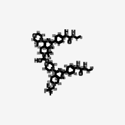 CCNC(=O)Nc1ccc(-c2nc(N3CCOCC3C)c3c(n2)C(C)(C)N(C(=O)O)CC3)cc1.CCNC(=O)Nc1ccc(-c2nc3c(c(N4CCOCC4)n2)CCN(CC(F)(F)F)C3)cc1